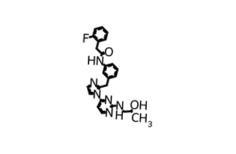 CC(O)CNc1nccc(-n2ccnc2Cc2cccc(NC(=O)Cc3ccccc3F)c2)n1